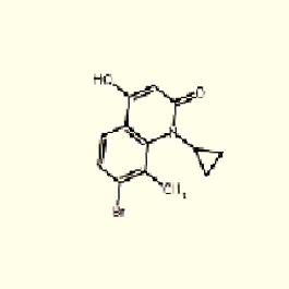 Cc1c(Br)ccc2c(O)cc(=O)n(C3CC3)c12